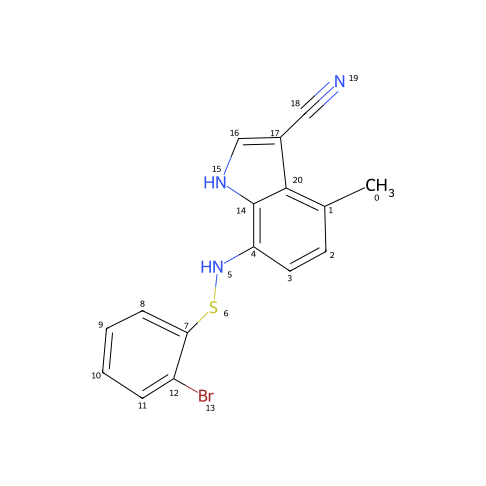 Cc1ccc(NSc2ccccc2Br)c2[nH]cc(C#N)c12